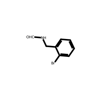 O=[C]NCc1ccccc1Br